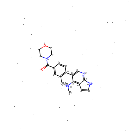 COc1cc(C(=O)N2CCOCC2)ccc1-c1cnc2[nH]ccc2c1NC(C)C